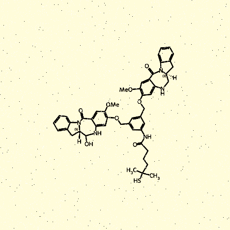 COc1cc2c(cc1OCc1cc(COc3cc4c(cc3OC)C(=O)N3c5ccccc5C[C@H]3C(O)N4)cc(NC(=O)CCCC(C)(C)S)c1)NC[C@@H]1Cc3ccccc3N1C2=O